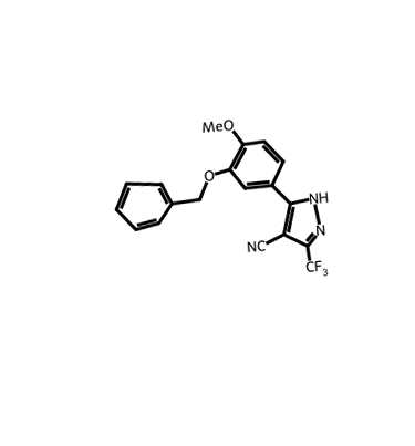 COc1ccc(-c2[nH]nc(C(F)(F)F)c2C#N)cc1OCc1ccccc1